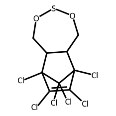 ClC1=C(Cl)C2(Cl)C3COSOCC3C1(Cl)C2(Cl)Cl